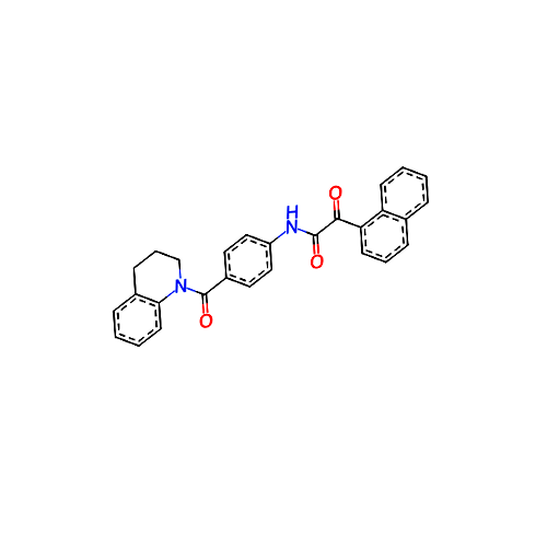 O=C(Nc1ccc(C(=O)N2CCCc3ccccc32)cc1)C(=O)c1cccc2ccccc12